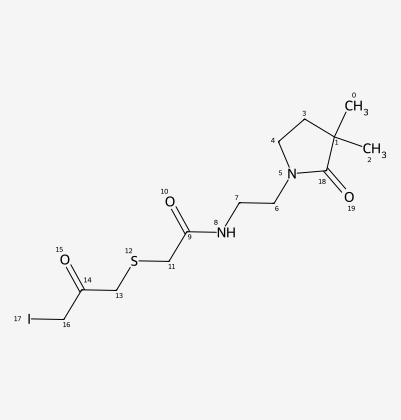 CC1(C)CCN(CCNC(=O)CSCC(=O)CI)C1=O